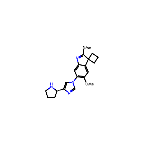 CNC1=Nc2cc(-n3cnc([C@H]4CCCN4)c3)c(OC)cc2C12CCC2